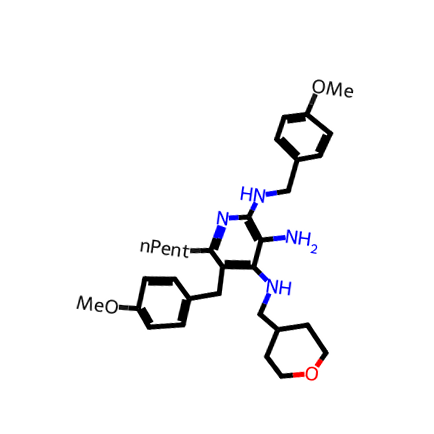 CCCCCc1nc(NCc2ccc(OC)cc2)c(N)c(NCC2CCOCC2)c1Cc1ccc(OC)cc1